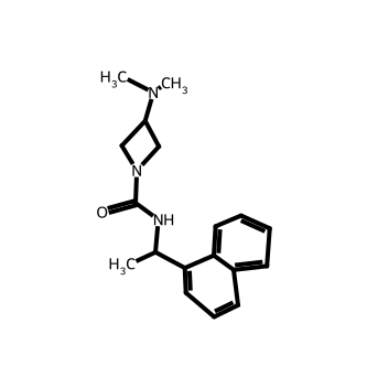 CC(NC(=O)N1CC(N(C)C)C1)c1cccc2ccccc12